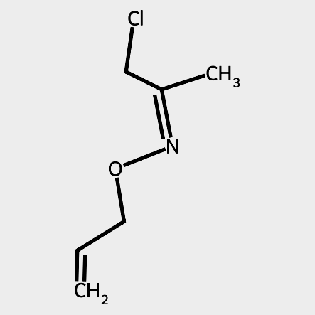 C=CCON=C(C)CCl